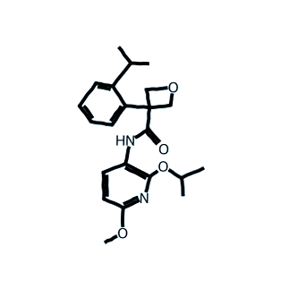 COc1ccc(NC(=O)C2(c3ccccc3C(C)C)COC2)c(OC(C)C)n1